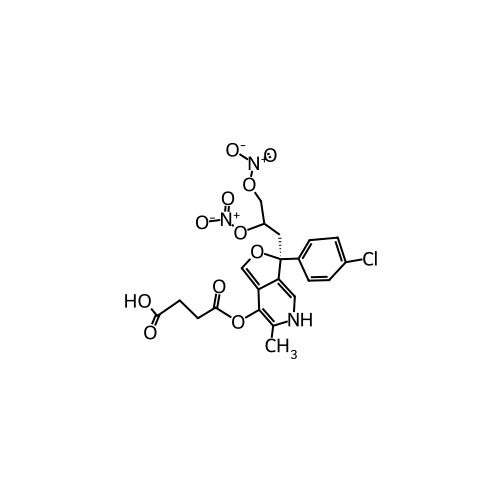 CC1=C(OC(=O)CCC(=O)O)C2=CO[C@@](CC(CO[N+](=O)[O-])O[N+](=O)[O-])(c3ccc(Cl)cc3)C2=CN1